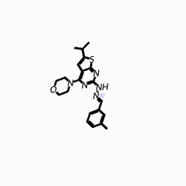 Cc1cccc(/C=N/Nc2nc(N3CCOCC3)c3cc(C(C)C)sc3n2)c1